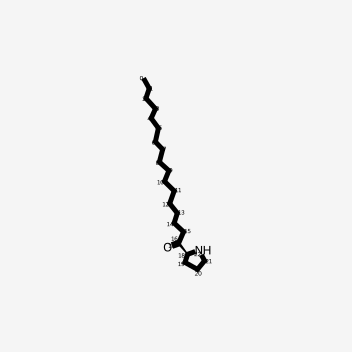 CCCCCCCCCCCCCCCCC(=O)[C@@H]1CCCN1